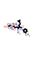 Cc1cc(NC(=O)c2c(C)c(C(=O)C(=O)NCC(C)(C)O)n(C)c2CC2CC2)ccc1F